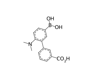 CN(C)c1ccc(B(O)O)cc1-c1cccc(C(=O)O)c1